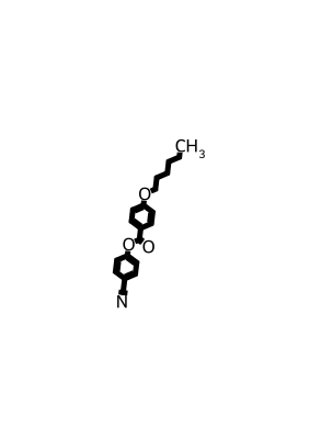 CCCCCCOc1ccc(C(=O)Oc2ccc(C#N)cc2)cc1